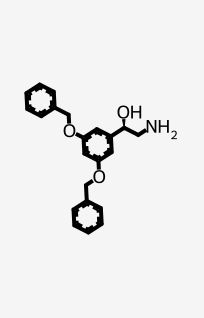 NC[C@H](O)c1cc(OCc2ccccc2)cc(OCc2ccccc2)c1